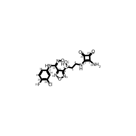 Nc1c(NCC[S+]([O-])c2nonc2/C(=N\O)Nc2ccc(F)c(Cl)c2)c(=O)c1=O